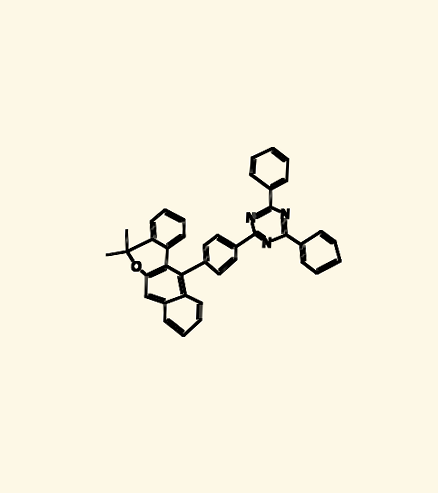 CC1(C)Oc2cc3ccccc3c(-c3ccc(-c4nc(-c5ccccc5)nc(-c5ccccc5)n4)cc3)c2-c2ccccc21